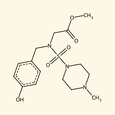 COC(=O)CN(Cc1ccc(O)cc1)S(=O)(=O)N1CCN(C)CC1